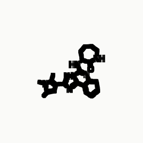 Cc1cc(-c2nc3c4ccccc4nc(N[C@@H]4CCCCNC4=O)n3n2)c(C)n1C